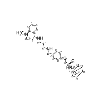 CN(C)c1ccccc1CNCCCNCc1ccc(OCC(=O)NC23CC4CC(CC(C4)C2)C3)cc1